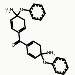 NC1(Oc2ccccc2)C=CC(C(=O)C2=CCC(N)(Oc3ccccc3)C=C2)=CC1